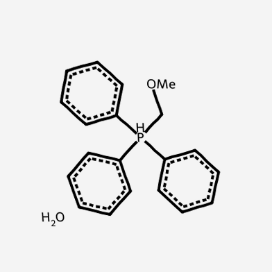 COC[PH](c1ccccc1)(c1ccccc1)c1ccccc1.O